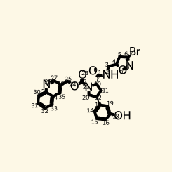 O=C(NCC1CC(Br)=NO1)[C@@H]1C[C@@H](c2cccc(O)c2)CN1C(=O)OCc1cnc2ccccc2c1